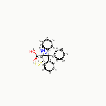 N[C@](CS)(C(=O)O)C(c1ccccc1)(c1ccccc1)c1ccccc1